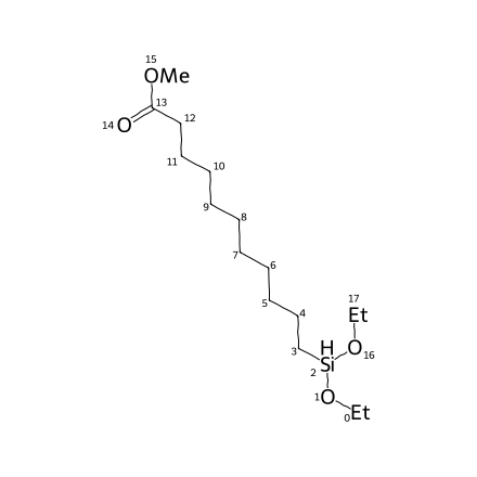 CCO[SiH](CCCCCCCCCCC(=O)OC)OCC